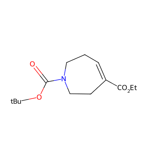 CCOC(=O)C1=CCCN(C(=O)OC(C)(C)C)CC1